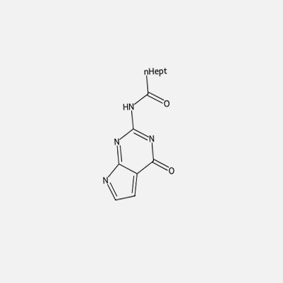 CCCCCCCC(=O)NC1=NC(=O)C2=CC=NC2=N1